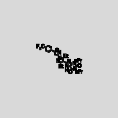 CCCn1c(=O)c2[nH]c(-c3c(CC)nn(-c4cc(-c5ccc(C(F)(F)F)cc5)on4)c3CC)nc2n(CCC)c1=O